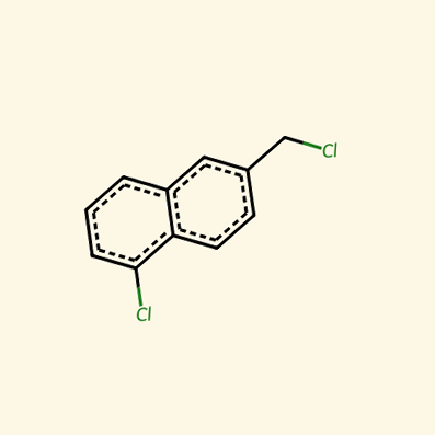 ClCc1ccc2c(Cl)cccc2c1